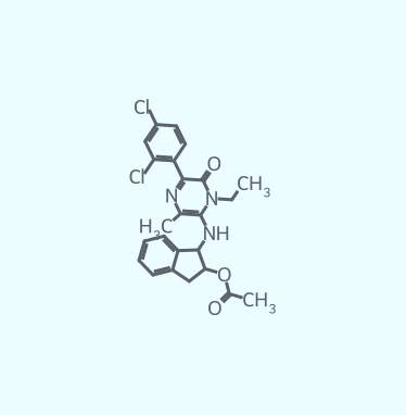 CCn1c(NC2c3ccccc3CC2OC(C)=O)c(C)nc(-c2ccc(Cl)cc2Cl)c1=O